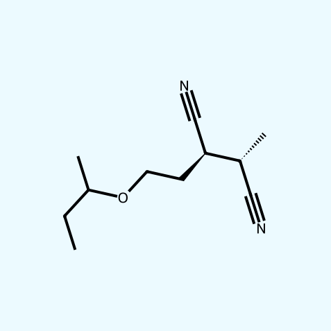 CCC(C)OCC[C@@H](C#N)[C@H](C)C#N